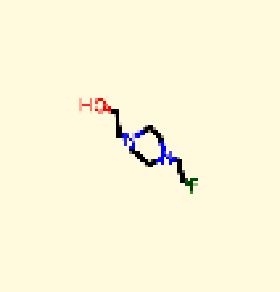 OCCN1CCN(CCF)CC1